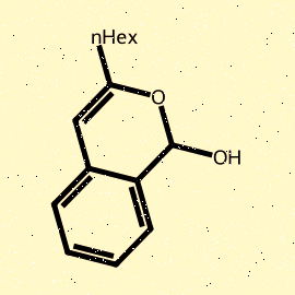 [CH2]CCCCCC1=Cc2ccccc2C(O)O1